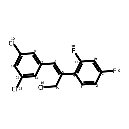 Fc1ccc(C(=Cc2cc(Cl)cc(Cl)c2)CCl)c(F)c1